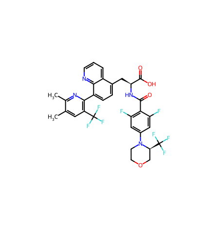 Cc1cc(C(F)(F)F)c(-c2ccc(C[C@H](NC(=O)c3c(F)cc(N4CCOC[C@@H]4C(F)(F)F)cc3F)C(=O)O)c3cccnc23)nc1C